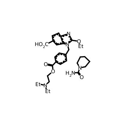 CCOc1nc2ccc(C(=O)O)cc2n1Cc1ccc(C(=O)OCCN(CC)CC)cc1.NC(=O)N1CCCCC1